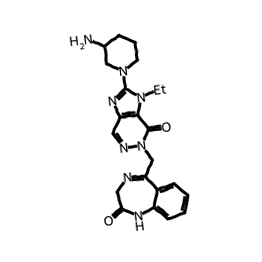 CCn1c(N2CCCC(N)C2)nc2cnn(CC3=NCC(=O)Nc4ccccc43)c(=O)c21